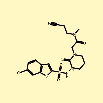 CN(CCC#N)C(=O)CN1CCC[C@H](NS(=O)(=O)c2cc3ccc(Cl)cc3s2)C1=O